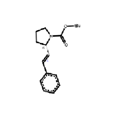 CC(C)(C)OC(=O)N1CCC[C@H]1/C=C/c1ccccc1